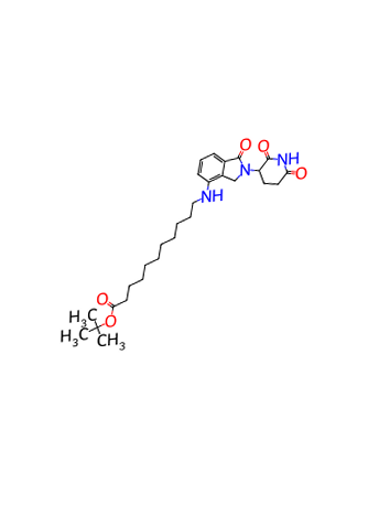 CC(C)(C)OC(=O)CCCCCCCCCCNc1cccc2c1CN(C1CCC(=O)NC1=O)C2=O